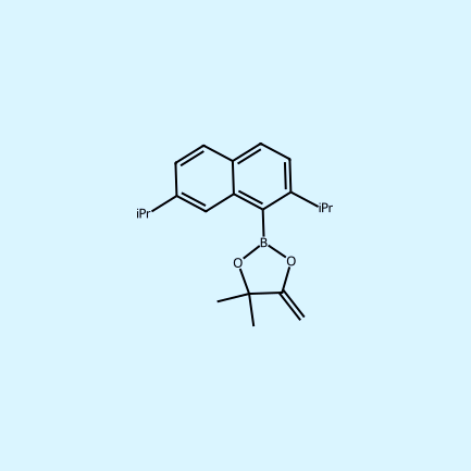 C=C1OB(c2c(C(C)C)ccc3ccc(C(C)C)cc23)OC1(C)C